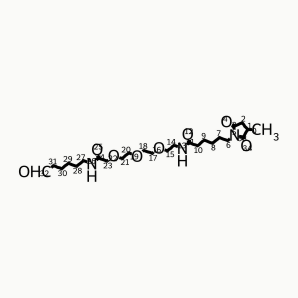 CC1CC(=O)N(CCCCCC(=O)NCCOCCOCCOCC(=O)NCCCCCC=O)C1=O